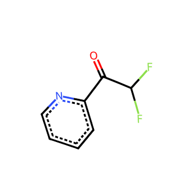 O=C(c1ccccn1)C(F)F